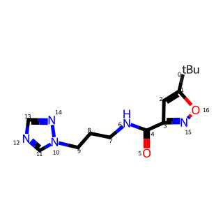 CC(C)(C)c1cc(C(=O)NCCCn2cncn2)no1